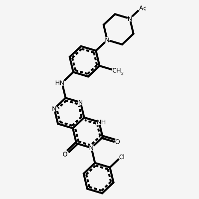 CC(=O)N1CCN(c2ccc(Nc3ncc4c(=O)n(-c5ccccc5Cl)c(=O)[nH]c4n3)cc2C)CC1